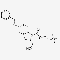 C[Si](C)(C)CCOC(=O)N1c2ccc(OCc3ccccc3)cc2CC1CO